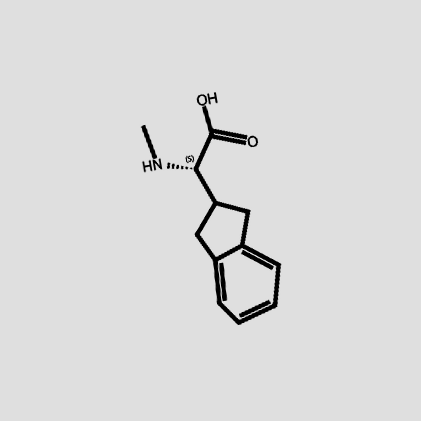 CN[C@H](C(=O)O)C1Cc2ccccc2C1